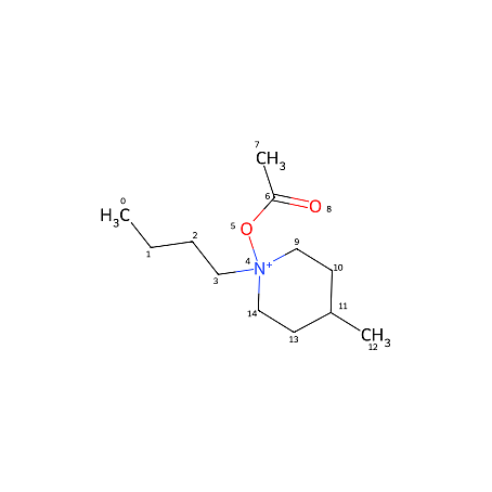 CCCC[N+]1(OC(C)=O)CCC(C)CC1